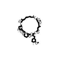 CO[C@H]1CC2CC[C@@H](C)[C@@](O)(O2)C(=O)C(=O)N2CCCCC2C(=O)O[C@](C)([C@H](C)CC2CC[C@@H](C)[C@H](OC)C2)CC(=O)[C@H](C)/C=C(\C)[C@@H](C)[C@@H](OC)C(=O)[C@H](C)C[C@H](C)/C=C/C=C/C=C/1C